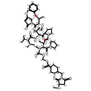 COC1=CC(=O)N(C(=O)[C@@H](OC(=O)[C@]2(C(=O)[C@@H](NC(=O)[C@H](C(C)C)N(C)C)C(C)C)CCCN2C(=O)[C@@H]2CCCN2C(=O)[C@H](C(C)C)N(C)C(=O)OCOC(=O)C2CCC(CN3C(=O)CC(SC)C3=O)CC2)C(C)C)[C@H]1Cc1ccccc1